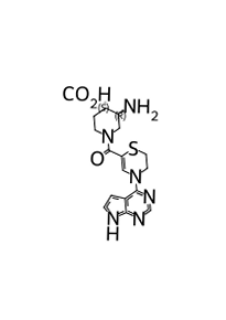 N[C@H]1CN(C(=O)C2=CN(c3ncnc4[nH]ccc34)CCS2)CC[C@@H]1C(=O)O